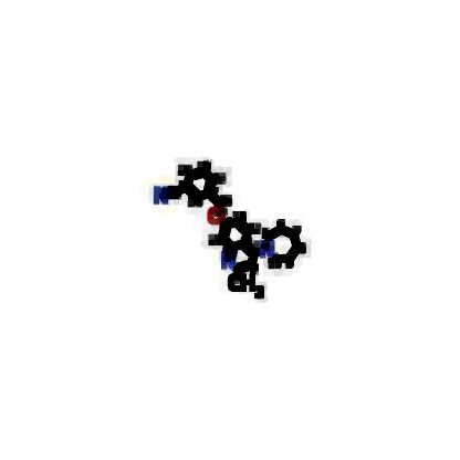 Cc1cc(N2CCCCCC2)c2ccc(OCc3cccc(C#N)c3)cc2n1